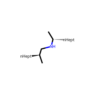 CCCCCCC[C@H](C)CN[C@H](C)CCCCCCC